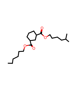 CCCCCCOC(=O)C1CCCC(C(=O)OCCCCC(C)C)C1